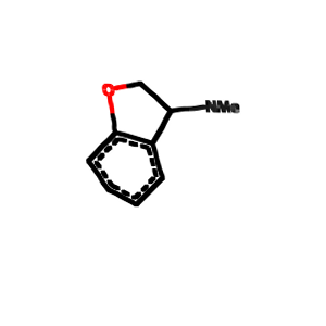 CNC1COc2ccccc21